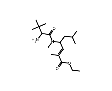 CCOC(=O)C(C)=CC(CC(C)C)N(C)C(=O)C(N)C(C)(C)C